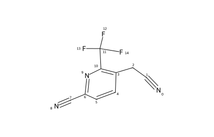 N#CCc1ccc(C#N)nc1C(F)(F)F